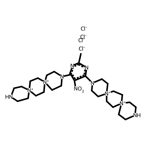 Cc1nc(N2CC[N+]3(CC2)CC[N+]2(CCNCC2)CC3)c([N+](=O)[O-])c(N2CC[N+]3(CC2)CC[N+]2(CCNCC2)CC3)n1.[Cl-].[Cl-].[Cl-].[Cl-]